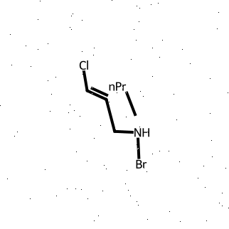 CCCC.ClC=CCNBr